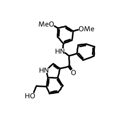 COc1cc(NC(C(=O)c2c[nH]c3c(CO)cccc23)c2ccccc2)cc(OC)c1